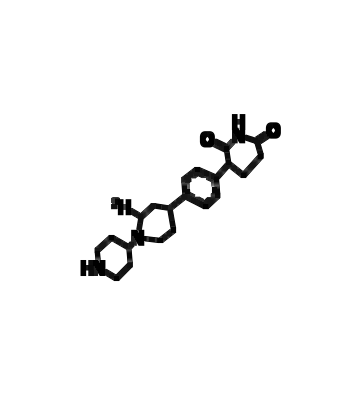 [2H]C1CC(c2ccc(C3CCC(=O)NC3=O)cc2)CCN1C1CCNCC1